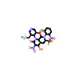 CCc1cncc(CC)c1-n1c(=O)c([N+](=O)[O-])c(O)c2cc(C(F)(F)F)n(-c3c(F)cccc3[N+](=O)[O-])c(=O)c21